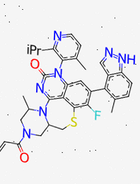 C=CC(=O)N1CC(C)N2c3nc(=O)n(-c4c(C)ccnc4C(C)C)c4cc(-c5c(C)ccc6[nH]ncc56)c(F)c(c34)SCC2C1